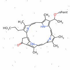 CCCCCOC(C)c1c(C)c2cc3nc(c4c5[nH]c(cc6nc(cc1[nH]2)C(C)=C6C)c(C)c5C(=O)C4)C(CCC(=O)O)=C3C